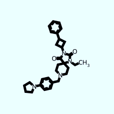 CCN1C(=O)N(C2CC(c3ccccc3)C2)C(=O)C12CCN(Cc1ccc(N3CCCC3)cc1)CC2